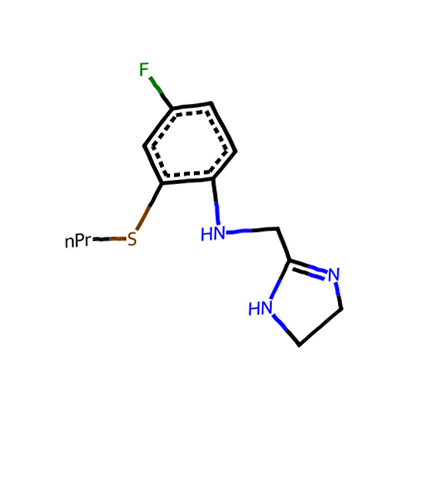 CCCSc1cc(F)ccc1NCC1=NCCN1